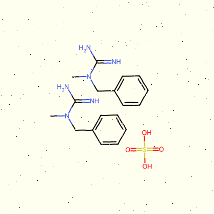 CN(Cc1ccccc1)C(=N)N.CN(Cc1ccccc1)C(=N)N.O=S(=O)(O)O